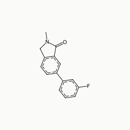 CN1Cc2ccc(-c3cccc(F)c3)cc2C1=O